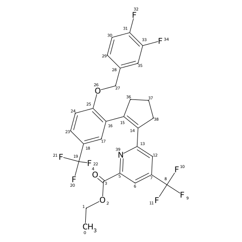 CCOC(=O)c1cc(C(F)(F)F)cc(C2=C(c3cc(C(F)(F)F)ccc3OCc3ccc(F)c(F)c3)CCC2)n1